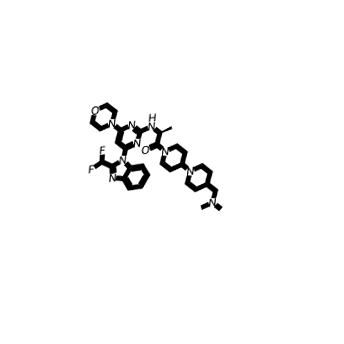 C[C@H](Nc1nc(N2CCOCC2)cc(-n2c(C(F)F)nc3ccccc32)n1)C(=O)N1CCC(N2CCC(CN(C)C)CC2)CC1